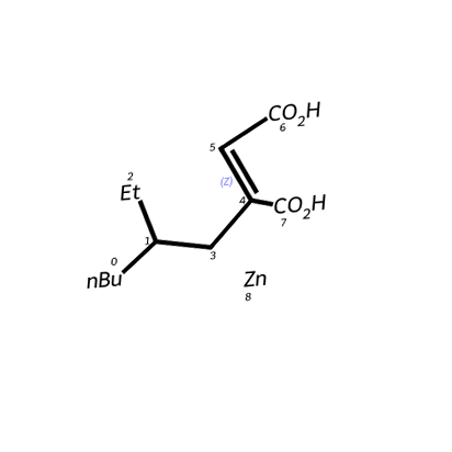 CCCCC(CC)C/C(=C/C(=O)O)C(=O)O.[Zn]